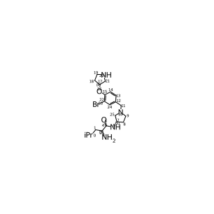 CC(C)C[C@H](N)C(=O)N[C@H]1CCN(Cc2ccc(O[C@@H]3CCNC3)c(Br)c2)C1